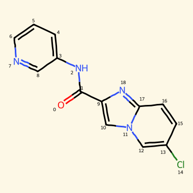 O=C(Nc1cccnc1)c1cn2cc(Cl)ccc2n1